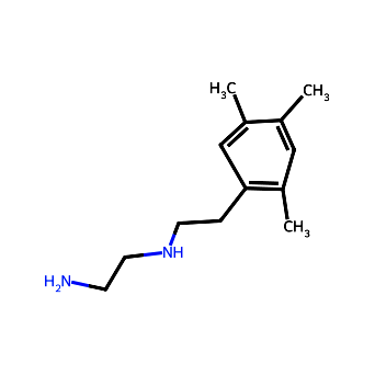 Cc1cc(C)c(CCNCCN)cc1C